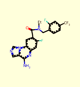 CCN(Cc1ccc(C(F)(F)F)cc1F)C(=O)c1cc2c(cc1F)nc(N)c1cncn12